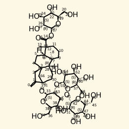 C=C1C[C@@]23CC[C@H]4[C@@](C)(CCC[C@@]4(C)C(=O)O[C@@H]4O[C@H](CO)[C@@H](O)[C@H](O)[C@H]4O)[C@@H]2CC[C@]1(O[C@@H]1O[C@H](CO)[C@@H](O)[C@@H](O[C@@H]2O[C@H](CO)[C@@H](O)[C@H](O)[C@H]2O)[C@H]1O[C@@H]1O[C@H](CO)[C@@H](O)[C@H](O)[C@H]1O)C3